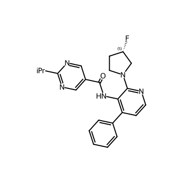 CC(C)c1ncc(C(=O)Nc2c(-c3ccccc3)ccnc2N2CC[C@H](F)C2)cn1